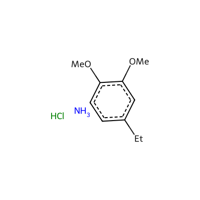 CCc1ccc(OC)c(OC)c1.Cl.N